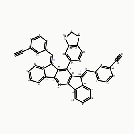 C#Cc1cccc(/C=C2\c3ccccc3-c3nc4c(c(-c5ccc6c(c5)OCO6)c32)/C(=C/c2cccc(C#C)c2)c2ccccc2-4)c1